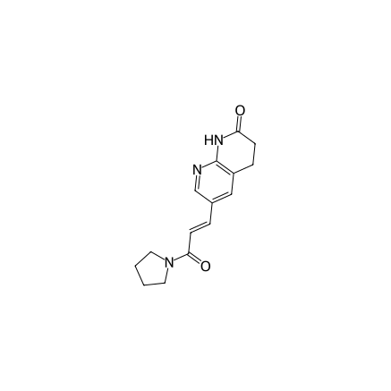 O=C1CCc2cc(C=CC(=O)N3CCCC3)cnc2N1